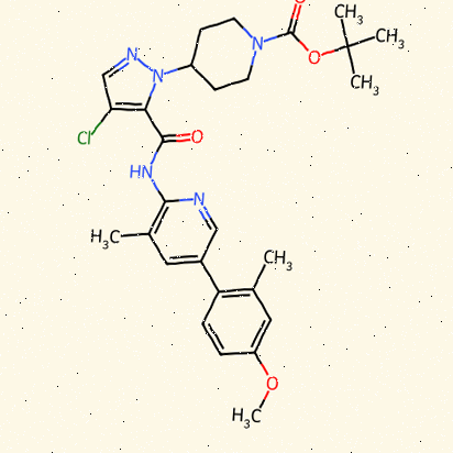 COc1ccc(-c2cnc(NC(=O)c3c(Cl)cnn3C3CCN(C(=O)OC(C)(C)C)CC3)c(C)c2)c(C)c1